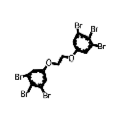 Brc1cc(OCCOc2cc(Br)c(Br)c(Br)c2)cc(Br)c1Br